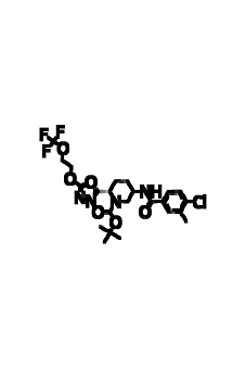 Cc1cc(C(=O)NC2CC[C@@H](c3nnc(OCCOC(F)(F)F)o3)N(C(=O)OC(C)(C)C)C2)ccc1Cl